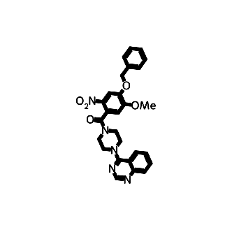 COc1cc(C(=O)N2CCN(c3ncnc4ccccc34)CC2)c([N+](=O)[O-])cc1OCc1ccccc1